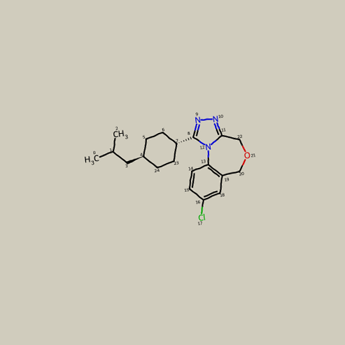 CC(C)C[C@H]1CC[C@H](c2nnc3n2-c2ccc(Cl)cc2COC3)CC1